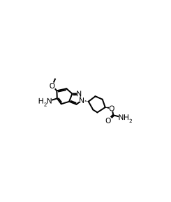 COc1cc2nn([C@H]3CC[C@H](OC(N)=O)CC3)cc2cc1N